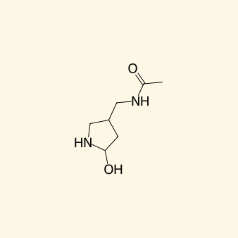 CC(=O)NCC1CNC(O)C1